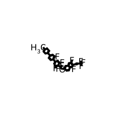 CC1CC=C(c2ccc(-c3cc(F)c(C(F)(F)Oc4ccc5c(F)c(C#CC(F)(F)F)c(F)cc5c4)c(F)c3)c(F)c2)CC1